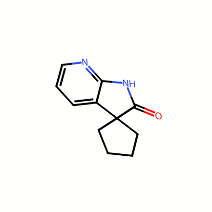 O=C1Nc2ncccc2C12CCCC2